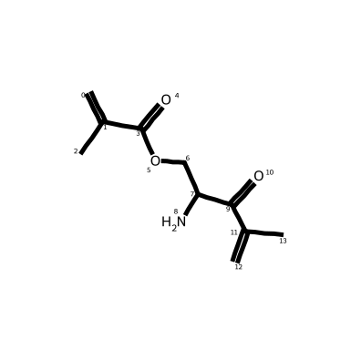 C=C(C)C(=O)OCC(N)C(=O)C(=C)C